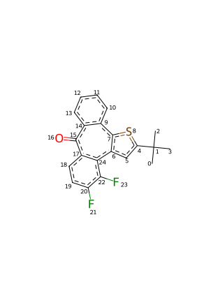 CC(C)(C)c1cc2c(s1)c1ccccc1c(=O)c1ccc(F)c(F)c12